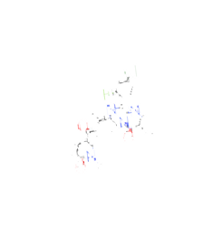 Cc1nc2c(-c3ccc(Cl)cc3F)nc([C@@H]3CCO[C@H](c4ccc(=O)n(C)c4)C3)cn2c(=O)c1C